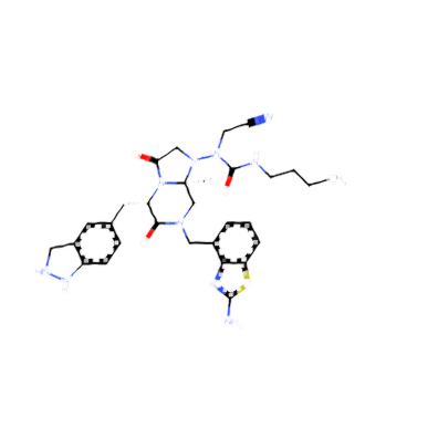 CCCCNC(=O)N(CC#N)N1CC(=O)N2[C@@H](Cc3ccc4c(c3)CNN4)C(=O)N(Cc3cccc4sc(N)nc34)C[C@@H]21